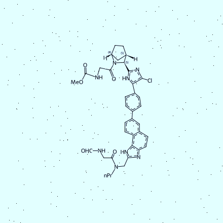 CCCN(Cc1nc2ccc3cc(-c4ccc(-c5[nH]c([C@@H]6[C@H]7CC[C@H](C7)N6C(=O)CNC(=O)OC)nc5Cl)cc4)ccc3c2[nH]1)C(=O)CNC=O